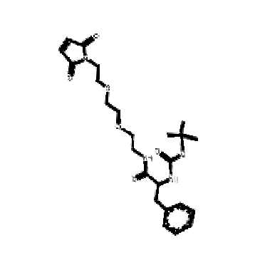 CC(C)(C)OC(=O)NC(Cc1ccccc1)C(=O)NCCOCCOCCN1C(=O)C=CC1=O